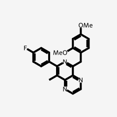 COc1ccc(Cc2nc(-c3ccc(F)cc3)c(C)c3nccnc23)c(OC)c1